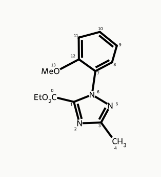 CCOC(=O)c1nc(C)nn1-c1ccccc1OC